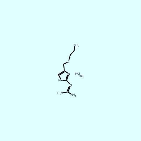 Cl.Cl.NCCSCc1c[nH]c(N=C(N)N)n1